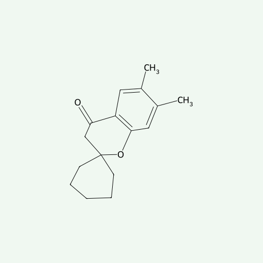 Cc1cc2c(cc1C)C(=O)CC1(CCCCC1)O2